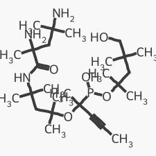 CC#CC(C)(OC(C)(C)CC(C)(C)NC(=O)C(C)(N)CC(C)(C)N)P(O)OC(C)(C)CC(C)(C)CO